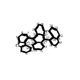 C1=Cc2oc3cccc(-c4c5ccccc5c(-c5cccc6ccccc56)c5ccccc45)c3c2CC1